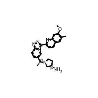 COc1cc2nc(-c3nnc4ccc([C@H](C)N5CC[C@H](N)C5)cn34)ccc2cc1C